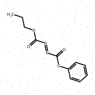 CCCOC(=O)/N=N/C(=O)Oc1ccccc1